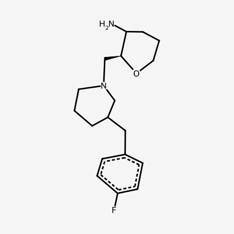 NC1CCCO[C@H]1CN1CCCC(Cc2ccc(F)cc2)C1